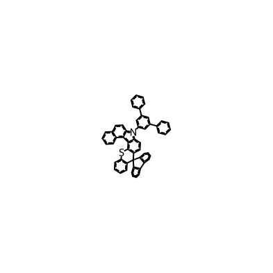 c1ccc(-c2cc(-c3ccccc3)cc(-n3c4ccc5c(c4c4c6ccccc6ccc43)Sc3ccccc3C53c4ccccc4-c4ccccc43)c2)cc1